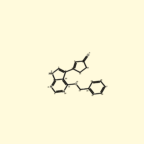 O=C1C=C(c2c[nH]c3ncnc(OCc4ccccc4)c23)CC1